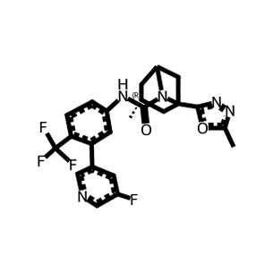 Cc1nnc(C23CC(C[C@@H](C)C2)N3C(=O)Nc2ccc(C(F)(F)F)c(-c3cncc(F)c3)c2)o1